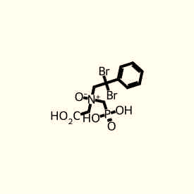 O=C(O)C[N+]([O-])(CC(Br)(Br)c1ccccc1)CP(=O)(O)O